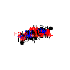 CC(C)[C@@H](C(=O)N[C@@H](CC(=O)O)C(=O)C(=C(Oc1ccccc1)S(=O)(=O)C(Oc1ccccc1)=C(C(=O)[C@H](CC(=O)O)NC(=O)[C@H](C(C)C)N(C(=O)[C@H](CC(C)(C)C)NC(=O)[C@H](CC(=O)O)NC(=O)OCc1ccccc1)c1ccc2ccccc2n1)C(C)(C)C)C(C)(C)C)N(C(=O)[C@H](CC(C)(C)C)NC(=O)[C@H](CC(=O)O)NC(=O)OCc1ccccc1)c1ccc2ccccc2n1